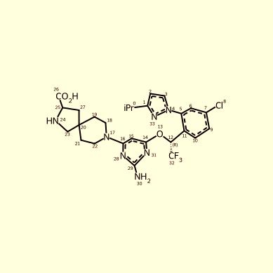 CC(C)c1ccn(-c2cc(Cl)ccc2[C@@H](Oc2cc(N3CCC4(CC3)CNC(C(=O)O)C4)nc(N)n2)C(F)(F)F)n1